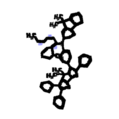 C\C=C/C=C\C(=C1/C=CC=CC1C)N(c1ccc(-c2c(-c3ccccc3)sc3c2C(C)(C)c2c-3sc(-c3ccccc3)c2-c2ccccc2)cc1)c1ccc2c(c1)C(C)(C)c1ccccc1-2